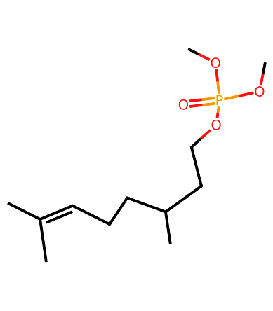 COP(=O)(OC)OCCC(C)CCC=C(C)C